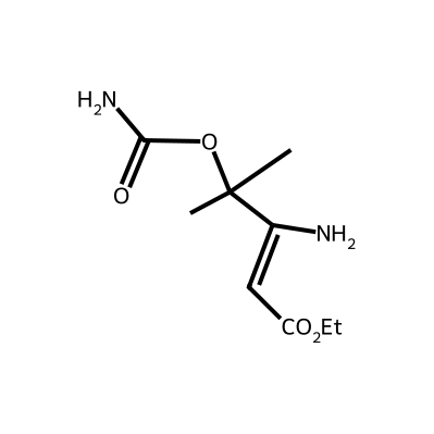 CCOC(=O)/C=C(\N)C(C)(C)OC(N)=O